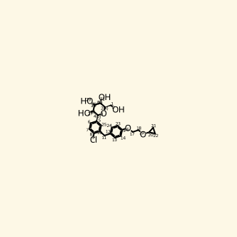 OC[C@H]1O[C@@H](c2ccc(Cl)c(Cc3ccc(OCCOC4CC4)cc3)c2)C(O)[C@@H](O)[C@@H]1O